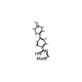 CN/C=N\C(=N)c1ccc(C2=CCN(C)CC2)cc1